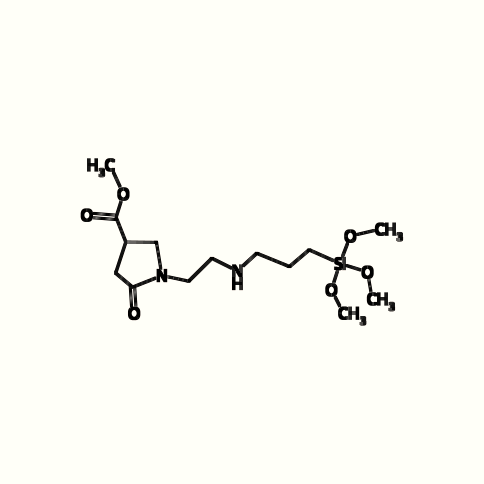 COC(=O)C1CC(=O)N(CCNCCC[Si](OC)(OC)OC)C1